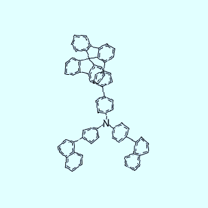 c1ccc2c(c1)-c1ccccc1C21c2ccccc2-c2cccc(-c3ccc(-c4ccc(N(c5ccc(-c6cccc7ccccc67)cc5)c5ccc(-c6cccc7ccccc67)cc5)cc4)cc3)c21